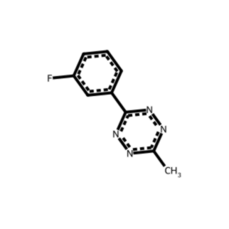 Cc1nnc(-c2cccc(F)c2)nn1